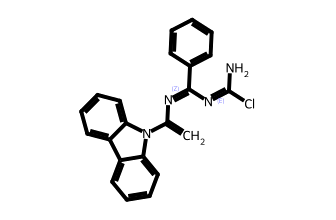 C=C(/N=C(\N=C(/N)Cl)c1ccccc1)n1c2ccccc2c2ccccc21